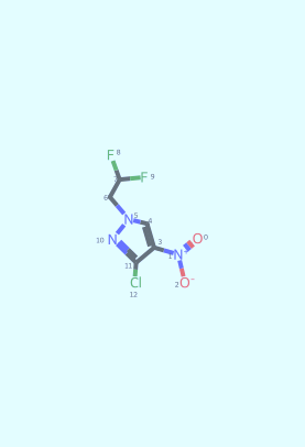 O=[N+]([O-])c1cn(CC(F)F)nc1Cl